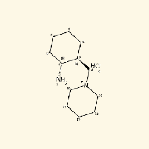 Cl.N[C@@H]1CCCC[C@H]1CN1CCCCC1